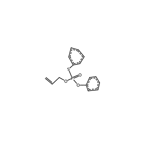 C=CCOP(=O)(Oc1ccccc1)Sc1ccccc1